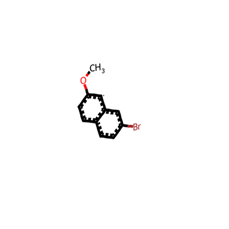 COc1[c]c2cc(Br)ccc2cc1